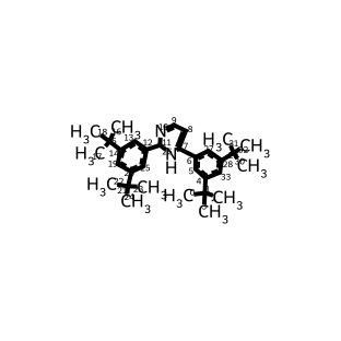 CC(C)(C)c1cc(C2=CC=NC(c3cc(C(C)(C)C)cc(C(C)(C)C)c3)N2)cc(C(C)(C)C)c1